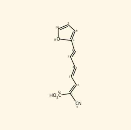 N#CC(=CC=CC=Cc1ccco1)C(=O)O